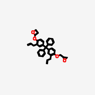 C=CCc1cc(C(c2ccccc2)(c2ccccc2)c2ccc(OC3CCO3)c(CC=C)c2)ccc1OCC1CO1